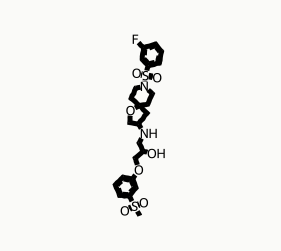 CS(=O)(=O)c1cccc(OCC(O)CNC2COC3(CCN(S(=O)(=O)c4cccc(F)c4)CC3)C2)c1